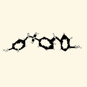 Cc1ccc(NS(=O)(=O)c2cccc(Sc3ccc([N+](=O)[O-])cc3)c2)cn1